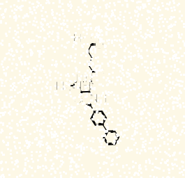 O=C(O)CCCC(=O)NC[C@H](NC(=O)c1ccc(-c2ccccc2)cc1)C(=O)NO